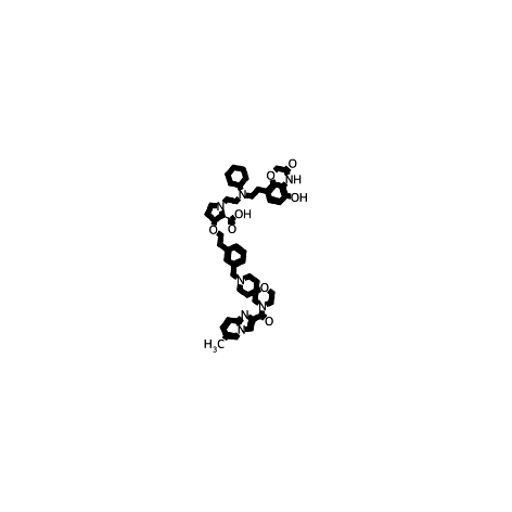 Cc1ccc2nc(C(=O)N3CCOC4(CCN(Cc5cccc(CCOC6CCN(CCN(CCc7ccc(O)c8c7OCC(=O)N8)C7CCCCC7)[C@@H]6C(=O)O)c5)CC4)C3)cn2c1